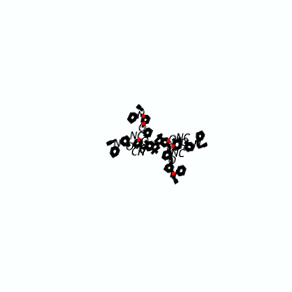 [C-]#[N+]c1c(Oc2cccc(N(CC#C)c3ccccc3)c2)cccc1Oc1cc2c(cc1Oc1cccc(Oc3cccc(N(CC#C)c4ccccc4)c3)c1[N+]#[C-])C1(CC(C)(C)c3cc(Oc4cccc(Oc5cccc(N(CC#C)c6ccccc6)c5)c4C#N)c(Oc4cccc(Oc5cccc(N(CC#C)c6ccccc6)c5)c4C#N)cc31)CC2(C)C